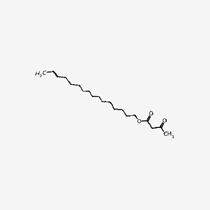 CCCCCCCCCCCCCCCCOC(=O)CC(C)=O